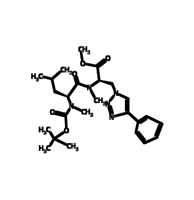 COC(=O)[C@@H](Cn1cc(-c2ccccc2)nn1)N(C)C(=O)[C@H](CC(C)C)N(C)C(=O)OC(C)(C)C